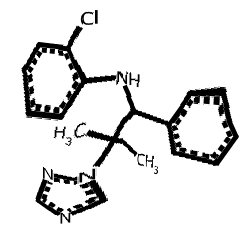 CC(C)(C(Nc1ccccc1Cl)c1ccccc1)n1cncn1